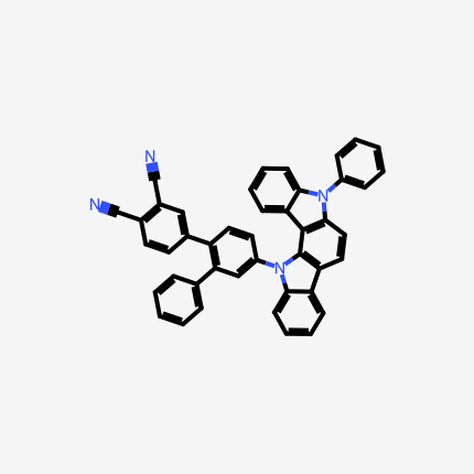 N#Cc1ccc(-c2ccc(-n3c4ccccc4c4ccc5c(c6ccccc6n5-c5ccccc5)c43)cc2-c2ccccc2)cc1C#N